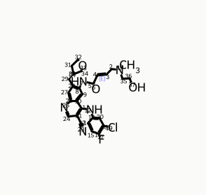 CN(C/C=C/C(=O)Nc1cc2c(Nc3ccc(F)c(Cl)c3)c(C#N)cnc2cc1C[C@H]1CCOC1)CCO